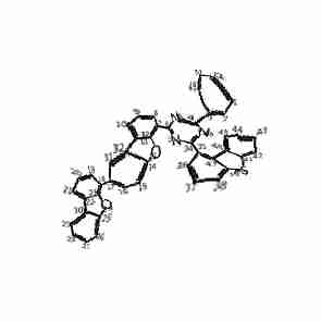 c1ccc(-c2nc(-c3cccc4c3oc3ccc(-c5cccc6c5oc5ccccc56)cc34)nc(-c3cccc4sc5ccccc5c34)n2)cc1